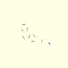 N#CCC(=O)Nc1ccc(/C=C\c2ccc(Cl)cc2)cc1